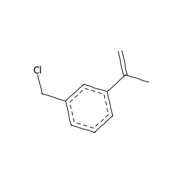 C=C(C)c1cccc(CCl)c1